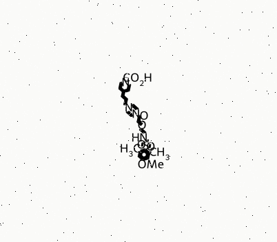 COc1cc(C)c(S(=O)(=O)CNCCOCC(=O)N2CCN(CCCC3CCN(C(=O)O)CC3)CC2)c(C)c1